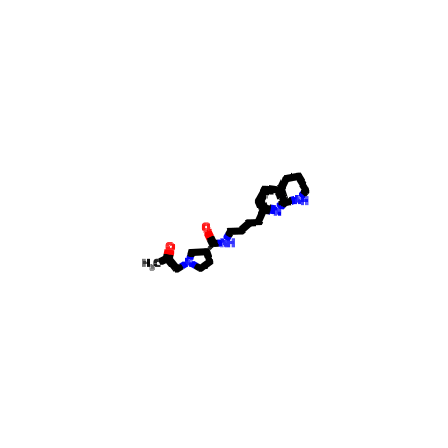 CC(=O)CN1CC[C@@H](C(=O)NCCCCc2ccc3c(n2)NCCC3)C1